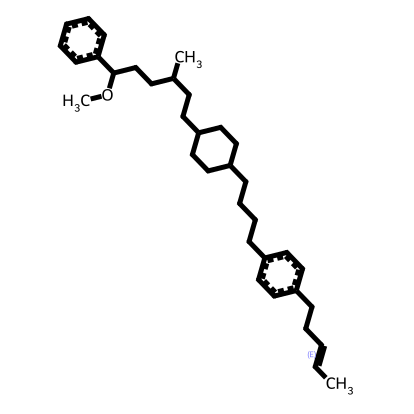 C/C=C/CCc1ccc(CCCCC2CCC(CCC(C)CCC(OC)c3ccccc3)CC2)cc1